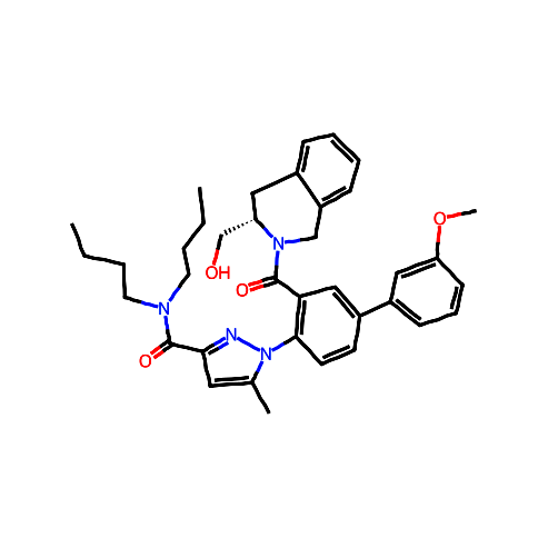 CCCCN(CCCC)C(=O)c1cc(C)n(-c2ccc(-c3cccc(OC)c3)cc2C(=O)N2Cc3ccccc3C[C@H]2CO)n1